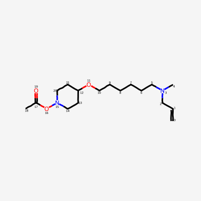 C=CCN(C)CCCCCCOC1CCN(OC(C)=O)CC1